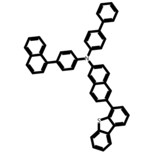 c1ccc(-c2ccc(N(c3ccc(-c4cccc5ccccc45)cc3)c3ccc4cc(-c5cccc6c5sc5ccccc56)ccc4c3)cc2)cc1